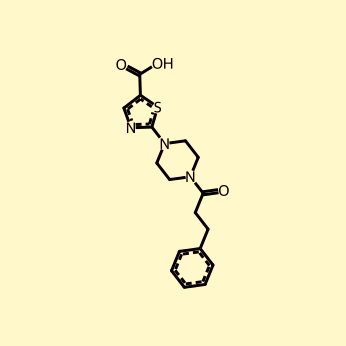 O=C(O)c1cnc(N2CCN(C(=O)CCc3ccccc3)CC2)s1